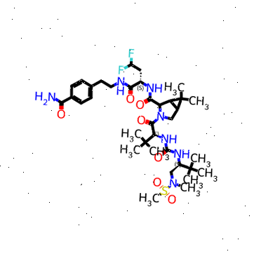 CN(C[C@@H](NC(=O)N[C@H](C(=O)N1CC2C(C1C(=O)N[C@@H](CC(F)F)C(=O)NCCc1ccc(C(N)=O)cc1)C2(C)C)C(C)(C)C)C(C)(C)C)S(C)(=O)=O